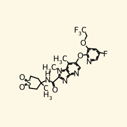 Cc1c(Oc2ncc(F)cc2OCC(F)(F)F)cnc2nc(C(=O)NC3(C)CCS(=O)(=O)CC3)n(C)c12